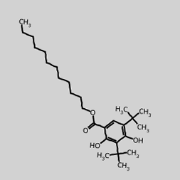 CCCCCCCCCCCCOC(=O)c1cc(C(C)(C)C)c(O)c(C(C)(C)C)c1O